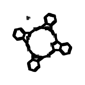 [Ir].c1ccc2c(c1)-c1nc-2nc2[nH]c(nc3nc(nc4[nH]c(n1)c1ccccc41)-c1ccccc1-3)c1ccccc21